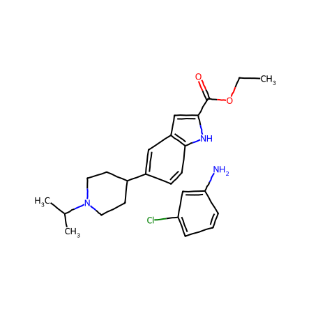 CCOC(=O)c1cc2cc(C3CCN(C(C)C)CC3)ccc2[nH]1.Nc1cccc(Cl)c1